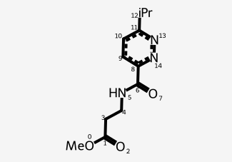 COC(=O)CCNC(=O)c1ccc(C(C)C)nn1